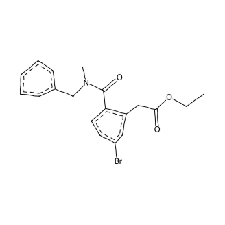 CCOC(=O)Cc1cc(Br)ccc1C(=O)N(C)Cc1ccccc1